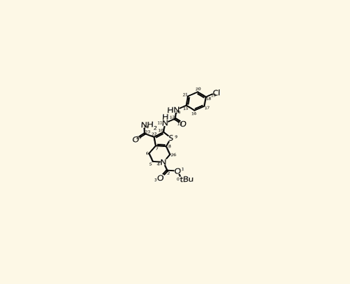 CC(C)(C)OC(=O)N1CCc2c(sc(NC(=O)Nc3ccc(Cl)cc3)c2C(N)=O)C1